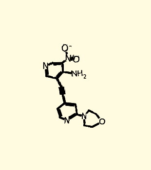 Nc1c(C#Cc2ccnc(N3CCOCC3)c2)cncc1[N+](=O)[O-]